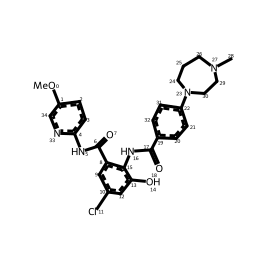 COc1ccc(NC(=O)c2cc(Cl)cc(O)c2NC(=O)c2ccc(N3CCCN(C)CC3)cc2)nc1